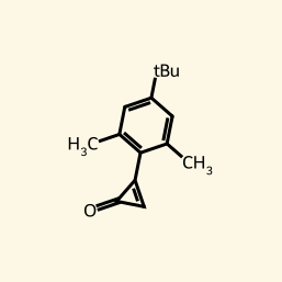 Cc1cc(C(C)(C)C)cc(C)c1-c1cc1=O